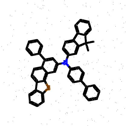 CC1(C)c2ccccc2-c2ccc(N(c3ccc(-c4ccccc4)cc3)c3cc(-c4ccccc4)c4ccc5c6ccccc6sc5c4c3)cc21